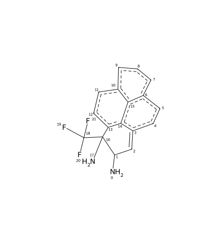 NC1C=c2ccc3cccc4ccc(c2c43)C1(N)C(F)(F)F